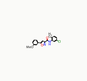 COc1cccc(-c2cc(C(=O)Nc3cc(Cl)ccc3C)no2)c1